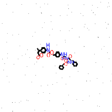 Cc1cc(=O)oc2cc(NC(=O)OCc3ccc(NC(=O)CNC(=O)[C@H](Cc4ccccc4)NC(=O)OCc4ccccc4)cc3)ccc12